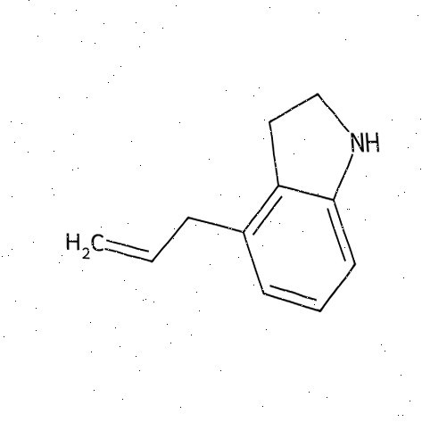 C=CCc1cccc2c1CCN2